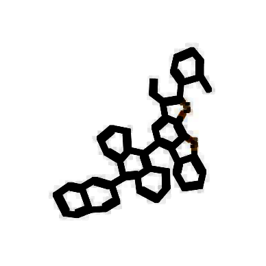 C=Cc1c(-c2ccccc2C)sc2c1cc(-c1c3ccccc3c(-c3ccc4ccccc4c3)c3ccccc13)c1c3ccccc3sc21